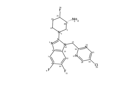 N[C@@H]1CN(c2nc3cc(F)c(F)cc3n2Cc2ncc(Cl)cn2)CCC1F